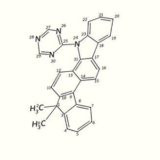 CC1(C)c2ccccc2-c2c1ccc1c2ccc2c3ccccc3n(-c3ncncn3)c12